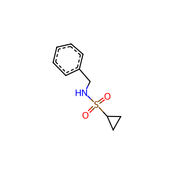 O=S(=O)(NCc1ccccc1)C1CC1